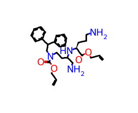 C=CCOC(=O)[C@H](CCCN)NC(CN)CCN(CC(c1ccccc1)c1ccccc1)C(=O)OCC=C